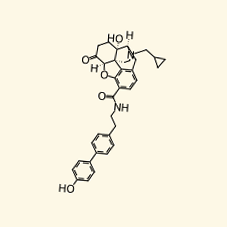 O=C(NCCc1ccc(-c2ccc(O)cc2)cc1)c1ccc2c3c1O[C@H]1C(=O)CC[C@@]4(O)[C@@H](C2)N(CC2CC2)CC[C@]314